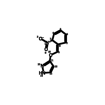 O=[N+]([O-])C1C=CC=C/C1=C/Oc1cc[nH]n1